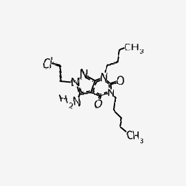 CCCCCn1c(=O)c2c(N)n(CCCl)nc2n(CCCC)c1=O